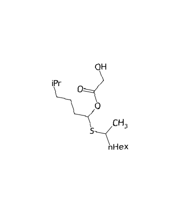 CCCCCCC(C)SC(CCCC(C)C)OC(=O)CO